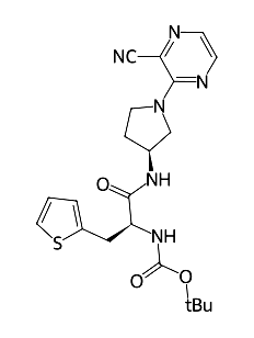 CC(C)(C)OC(=O)N[C@@H](Cc1cccs1)C(=O)N[C@H]1CCN(c2nccnc2C#N)C1